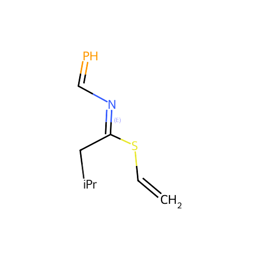 C=CS/C(CC(C)C)=N/C=P